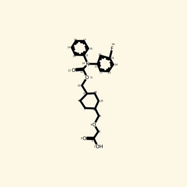 O=C(O)COCC1CCC(COC(=O)N(c2ccccc2)c2cccc(F)c2)CC1